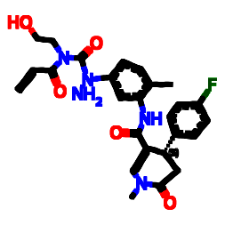 C=CC(=O)N(CCO)C(=O)N(N)c1ccc(C)c(NC(=O)C2=CN(C)C(=O)C[C@H]2c2ccc(F)cc2)c1